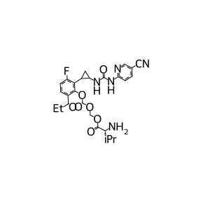 CCC(=O)c1ccc(F)c(C2CC2NC(=O)Nc2ccc(C#N)cn2)c1OC(=O)OCOC(=O)[C@@H](N)C(C)C